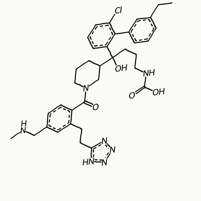 CCc1cccc(-c2c(Cl)cccc2C(O)(CCCNC(=O)O)C2CCCN(C(=O)c3ccc(CNC)cc3CCc3nnn[nH]3)C2)c1